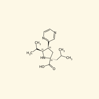 CC(C)C[C@@]1(C(=O)O)C[C@H](c2cnccn2)[C@H](C(C)C)N1